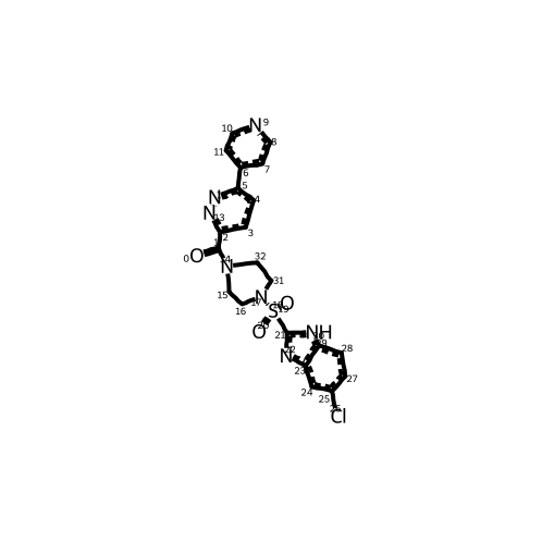 O=C(c1ccc(-c2ccncc2)nn1)N1CCN(S(=O)(=O)c2nc3cc(Cl)ccc3[nH]2)CC1